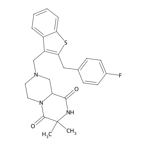 CC1(C)NC(=O)C2CN(Cc3c(Cc4ccc(F)cc4)sc4ccccc34)CCN2C1=O